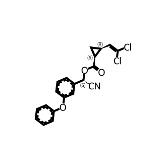 N#C[C@@H](OC(=O)[C@H]1C[C@H]1C=C(Cl)Cl)c1cccc(Oc2ccccc2)c1